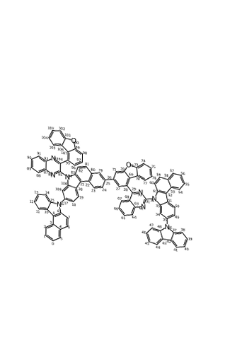 c1ccc2c(c1)ccc1c2c2ccccc2n1-c1ccc2c3c4ccc(-c5cc(-c6nc(-n7c8cc(-n9c%10ccccc%10c%10ccccc%109)ccc8c8c9ccccc9ccc87)nc7ccccc67)c6c(c5)oc5ccccc56)cc4ccc3n(-c3nc4ccccc4nc3-c3cccc4oc5ccccc5c34)c2c1